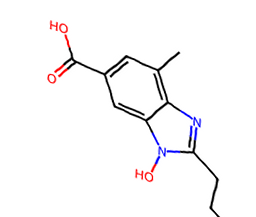 CCCc1nc2c(C)cc(C(=O)O)cc2n1O